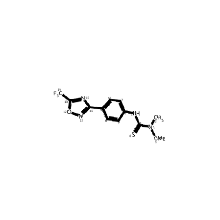 CON(C)C(=S)Nc1ccc(-c2noc(C(F)(F)F)n2)cc1